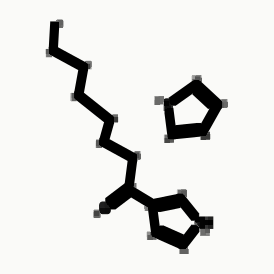 CCCCCCCC(=O)c1cc[nH]c1.c1ccsc1